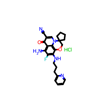 Cl.N#Cc1cn2c3c(c(NCCCc4ccccn4)c(F)c(N)c3c1=O)OCC21CCCC1